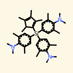 CC1=C(C)C(C)C([Si](c2cc(C)c(N(C)C)c(C)c2)(c2cc(C)c(N(C)C)c(C)c2)c2cc(C)c(N(C)C)c(C)c2)=C1C